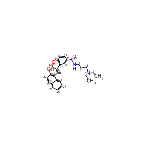 CCN(CC)CCCNC(=O)c1ccc2c(c1)/C(=C/c1c(O)ccc3ccccc13)CO2